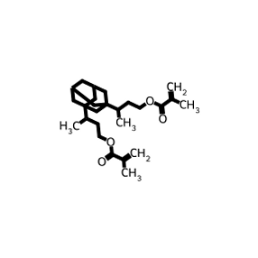 C=C(C)C(=O)OCCC(C)C12CC3CC(C1)CC(C(C)CCOC(=O)C(=C)C)(C3)C2